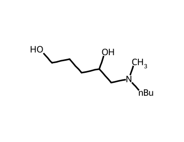 CCCCN(C)CC(O)CCCO